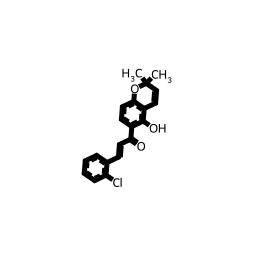 CC1(C)C=Cc2c(ccc(C(=O)/C=C/c3ccccc3Cl)c2O)O1